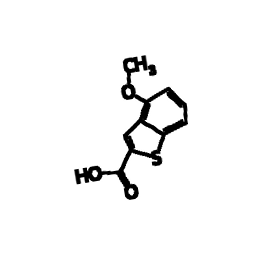 COc1cccc2sc(C(=O)O)cc12